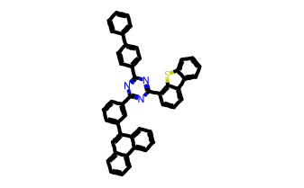 c1ccc(-c2ccc(-c3nc(-c4cccc(-c5cc6ccccc6c6ccccc56)c4)nc(-c4cccc5c4sc4ccccc45)n3)cc2)cc1